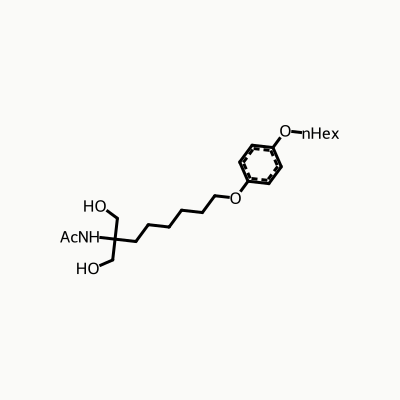 CCCCCCOc1ccc(OCCCCCCC(CO)(CO)NC(C)=O)cc1